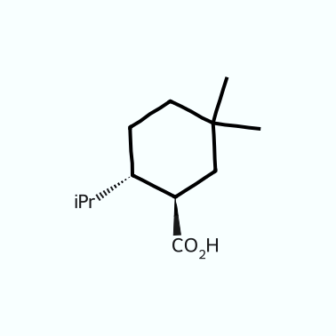 CC(C)[C@@H]1CCC(C)(C)C[C@H]1C(=O)O